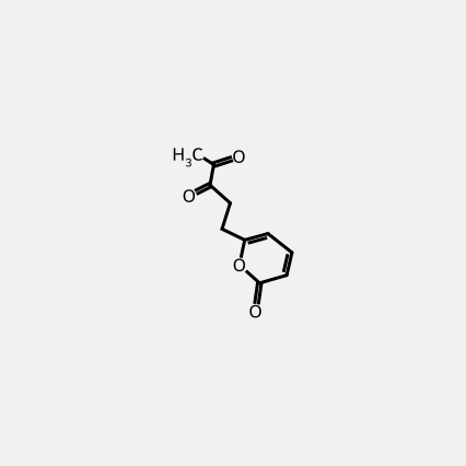 CC(=O)C(=O)CCc1cccc(=O)o1